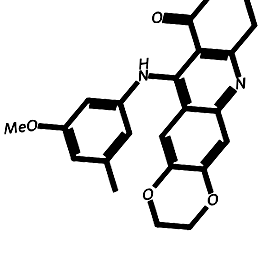 COc1cc(C)cc(Nc2c3c(nc4cc5c(cc24)OCCO5)CCCC3=O)c1